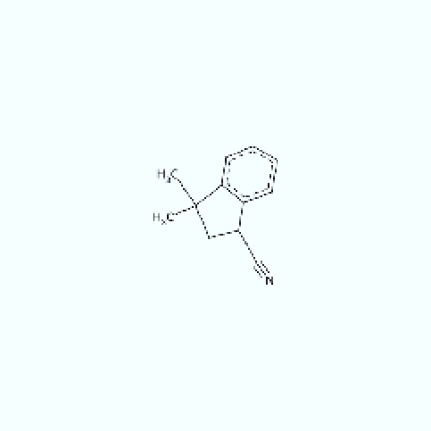 CC1(C)CC(C#N)c2ccccc21